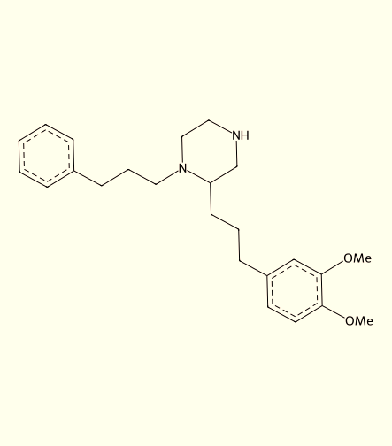 COc1ccc(CCCC2CNCCN2CCCc2ccccc2)cc1OC